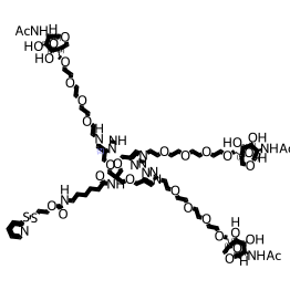 CC(=O)N[C@H]1[C@@H]2OC[C@](COCCOCCOCCOCCn3cc(COCC(COC/C(=C/NCCOCCOCCOCCOC[C@@]45CO[C@@H](O4)[C@H](NC(C)=O)[C@@H](O)[C@H]5O)N=N)(COCc4cn(CCOCCOCCOCCOC[C@@]56CO[C@@H](O5)[C@H](NC(C)=O)[C@@H](O)[C@H]6O)nn4)NC(=O)CCCCCNC(=O)OCCSSc4ccccn4)nn3)(O2)[C@H](O)[C@@H]1O